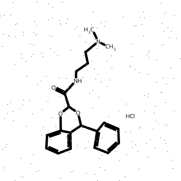 CN(C)CCCNC(=O)C1Oc2ccccc2C(c2ccccc2)O1.Cl